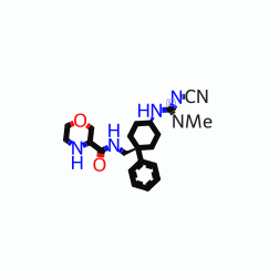 CN/C(=N\C#N)N[C@H]1CC[C@](CNC(=O)C2COCCN2)(c2ccccc2)CC1